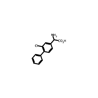 NC(C(=O)O)c1ccc(-c2ccccc2)c(Cl)c1